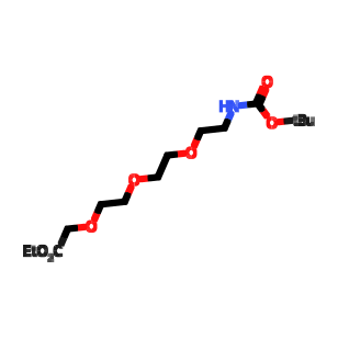 CCOC(=O)COCCOCCOCCNC(=O)OC(C)(C)C